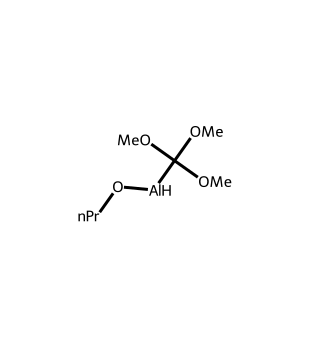 CCC[O][AlH][C](OC)(OC)OC